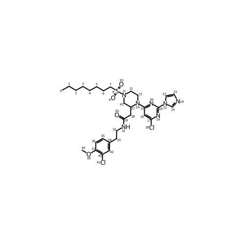 CCCCCCCCS(=O)(=O)N1CCN(c2cc(Cl)nc(-n3ccnc3)n2)C(CC(=O)NCCc2ccc(OC)c(Cl)c2)C1